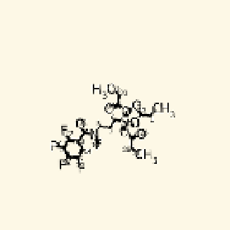 CCC(=O)O[Si](CCCN(F)C(=O)c1cc(F)c(F)c(F)c1F)(OC(=O)CC)OC(=O)CC